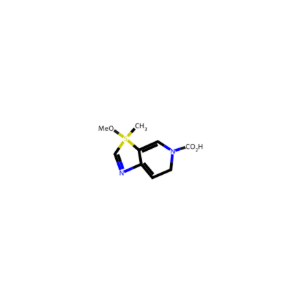 COS1(C)C=NC2=CCN(C(=O)O)C=C21